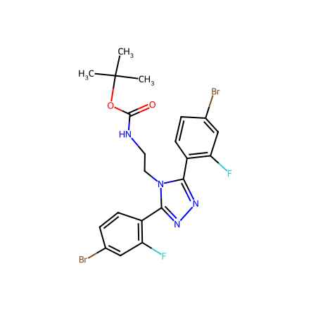 CC(C)(C)OC(=O)NCCn1c(-c2ccc(Br)cc2F)nnc1-c1ccc(Br)cc1F